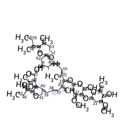 C=C[C@H]1C(=O)O[C@H]2C[C@@H](C/C=C(\C)[C@@H](O[C@H]3C[C@H](OC)[C@@H](O[C@H]4C[C@H](OC)[C@@H](O)[C@H](C)O4)[C@H](C)O3)[C@@H](C)/C=C/C=C3\CO[C@H]([C@H](O)CC)[C@@]31O)O[C@@]1(CC[C@H](C)[C@@H]([C@@H](C)CC)O1)C2